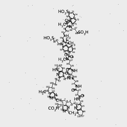 Cc1ncc([C@@H](CCCCCCc2nc3c(cc2CNC(=O)CCC(=O)NCCCC[C@H](NC(=O)CCCN(C)S(=O)(=O)c2cccc4c5c(ccc24)N(CCCS(=O)(=O)O)/C(=C/C=C/C=C/C2=[N+](CCCS(=O)(=O)O)c4ccc6ccc(S(=O)(=O)O)cc6c4C2(C)C)C5(C)C)C(=O)NCc2cc4c(nc2CCCCCC[C@@H](C)c2cnc(C)nc2)NCCC4)CCCC3)CC(=O)O)cn1